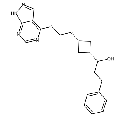 OC(CCc1ccccc1)[C@H]1C[C@@H](CCNc2ncnc3[nH]ncc23)C1